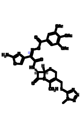 CC(=O)Oc1cc(C(=O)O/N=C(\C(=O)N[C@H]2C(=O)N3C(C(=O)O)=C(CSc4nnnn4C)CS[C@@H]23)c2coc(N)n2)cc(OC(C)=O)c1OC(C)=O